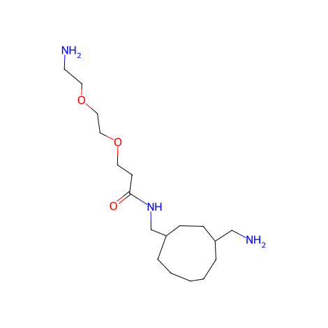 NCCOCCOCCC(=O)NCC1CCCCCC(CN)CC1